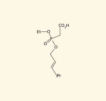 CCOP(=O)(CC(=O)O)OC/C=C/C(C)C